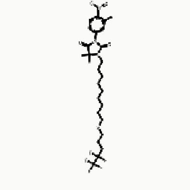 Cc1cc(N2C(=O)N(CCCCCCCCCSCCCC(F)(F)C(F)(F)F)C(C)(C)C2=O)ccc1[N+](=O)[O-]